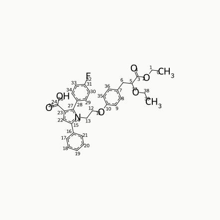 CCOC(=O)C(Cc1ccc(OCCn2c(-c3ccccc3)cc(C(=O)O)c2-c2ccc(F)cc2)cc1)OCC